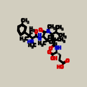 CN[C@H](C(=O)N[C@H](C(=O)N(C)[C@H](/C=C(\C)C(=O)N[C@H](CCC(=O)O)C(=O)O)C(C)C)C(C)(C)C)C(C)(C)c1cccc(C)c1